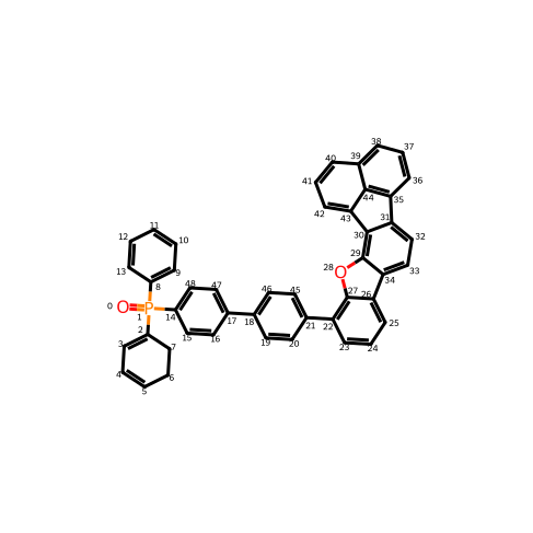 O=P(C1=CC=CCC1)(c1ccccc1)c1ccc(-c2ccc(-c3cccc4c3oc3c5c(ccc34)-c3cccc4cccc-5c34)cc2)cc1